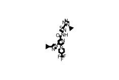 O=C(Nc1csc(-c2nncn2C2CC2)n1)c1cc(-n2cnc(C3CC3)c2)c(N2CCC(C(F)(F)F)CC2)cn1